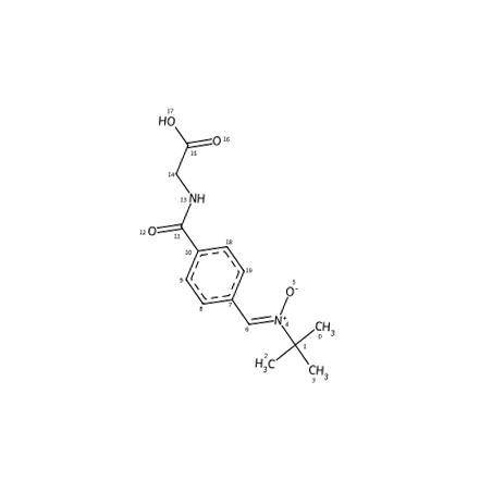 CC(C)(C)/[N+]([O-])=C/c1ccc(C(=O)NCC(=O)O)cc1